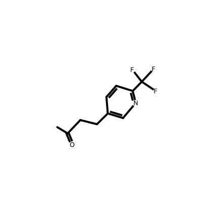 CC(=O)CCc1ccc(C(F)(F)F)nc1